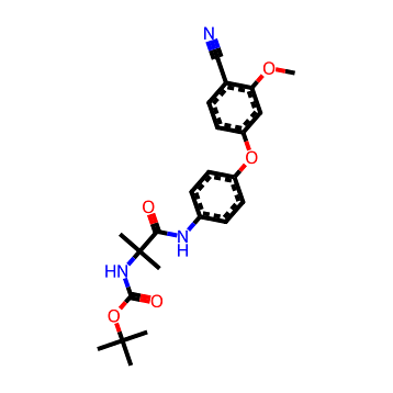 COc1cc(Oc2ccc(NC(=O)C(C)(C)NC(=O)OC(C)(C)C)cc2)ccc1C#N